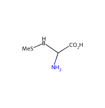 CSBC(N)C(=O)O